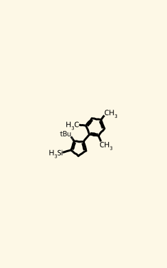 Cc1cc(C)c(C2=CCC([SiH3])=C2C(C)(C)C)c(C)c1